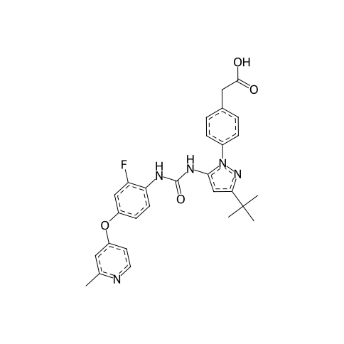 Cc1cc(Oc2ccc(NC(=O)Nc3cc(C(C)(C)C)nn3-c3ccc(CC(=O)O)cc3)c(F)c2)ccn1